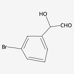 O=CC(O)c1cccc(Br)c1